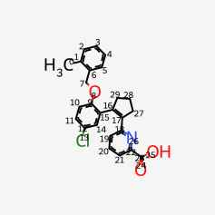 Cc1ccccc1COc1ccc(Cl)cc1C1=C(c2cccc(C(=O)O)n2)CCC1